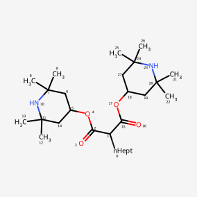 CCCCCCCC(C(=O)OC1CC(C)(C)NC(C)(C)C1)C(=O)OC1CC(C)(C)NC(C)(C)C1